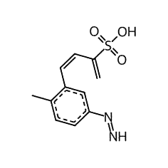 C=C(/C=C\c1cc(N=N)ccc1C)S(=O)(=O)O